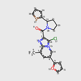 O=C(c1nc2c(C(F)(F)F)cc(-c3ccco3)cn2c1Cl)N1CCCC1c1cccs1